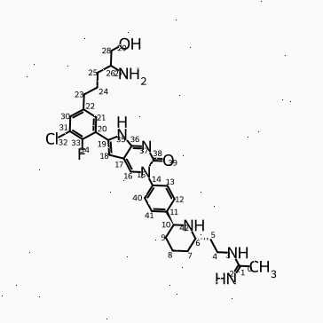 CC(=N)NCC[C@@H]1CCC[C@@H](c2ccc(-n3cc4cc(-c5cc(CCCC(N)CO)cc(Cl)c5F)[nH]c4nc3=O)cc2)N1